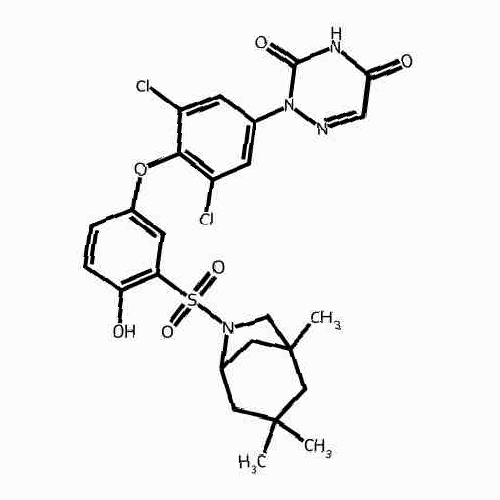 CC1(C)CC2CC(C)(CN2S(=O)(=O)c2cc(Oc3c(Cl)cc(-n4ncc(=O)[nH]c4=O)cc3Cl)ccc2O)C1